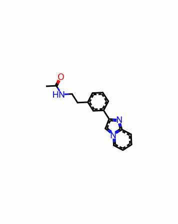 CC(=O)NCCc1cccc(-c2cn3ccccc3n2)c1